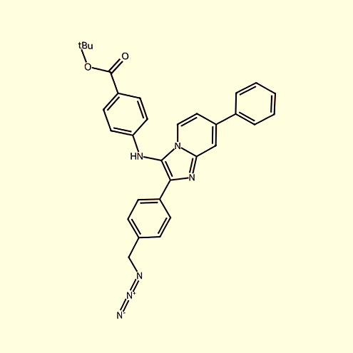 CC(C)(C)OC(=O)c1ccc(Nc2c(-c3ccc(CN=[N+]=[N-])cc3)nc3cc(-c4ccccc4)ccn23)cc1